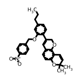 CCCc1ccc(C2=Cc3ccc4c(c3OC2)C=CC(C)(C)O4)c(OCc2ccc([N+](=O)[O-])cc2)c1